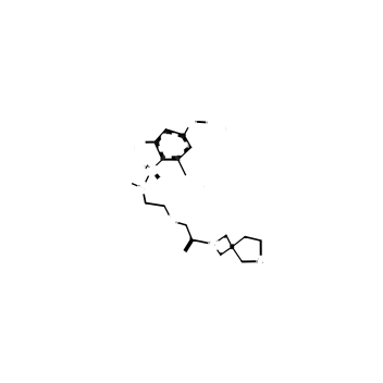 COc1cc(C)c(S(=O)(=O)N(C)CCOCC(=O)N2CC3(CCNC3)C2)c(C)c1